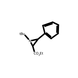 CCOC(=O)C1C(c2ccccc2)N1C(C)(C)C